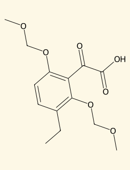 CCc1ccc(OCOC)c(C(=O)C(=O)O)c1OCOC